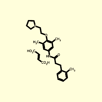 Cc1ccccc1CCC(=O)Nc1cc(C)c(OCCN2CCCC2)c(C)c1.O=C(O)/C=C/C(=O)O